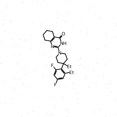 CCc1cc(F)cc(F)c1C1(CC)CCN(c2nc3c(c(=O)[nH]2)CCCC3)CC1